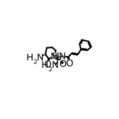 N[C@H]1CCCN(P(N)(=O)NC(=O)/C=C/c2ccccc2)C1=O